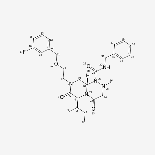 CCC(C)[C@H]1C(=O)N(CCOCc2cccc(F)c2)C[C@H]2N1C(=O)CN(C)N2C(=O)NCc1ccccc1